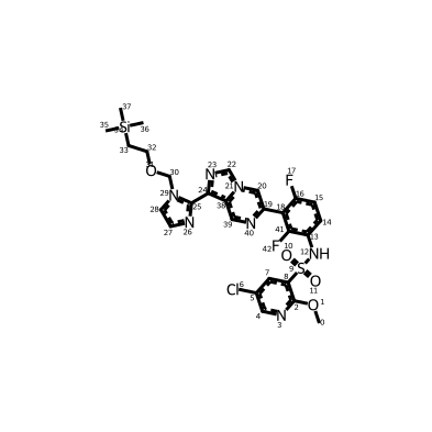 COc1ncc(Cl)cc1S(=O)(=O)Nc1ccc(F)c(-c2cn3cnc(-c4nccn4COCC[Si](C)(C)C)c3cn2)c1F